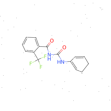 O=C(NC(=O)c1ccccc1C(F)(F)F)NC1=C[CH]CC=C1